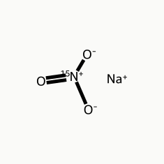 O=[15N+]([O-])[O-].[Na+]